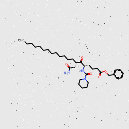 NC(=O)C[C@H](CCCCCCCCCCCCC=O)C(=O)[C@H](CCCC(=O)OCc1ccccc1)NC(=O)N1CCCCC1